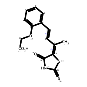 CC(/C=C/c1ccccc1OCC(=O)O)=C1\SC(=S)NC1=O